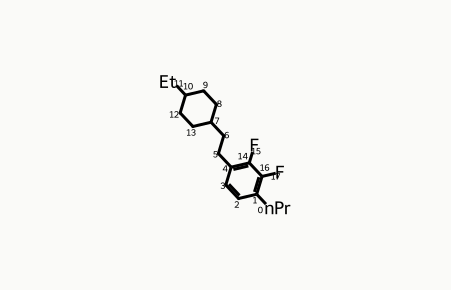 CCCc1ccc(CCC2CCC(CC)CC2)c(F)c1F